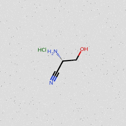 Cl.N#C[C@H](N)CO